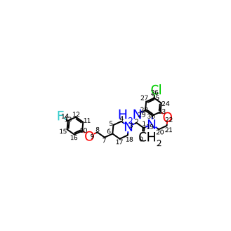 C=C(CN1CCC(CCOc2ccc(F)cc2)CC1)N1CCOc2cc(Cl)cc(N)c21